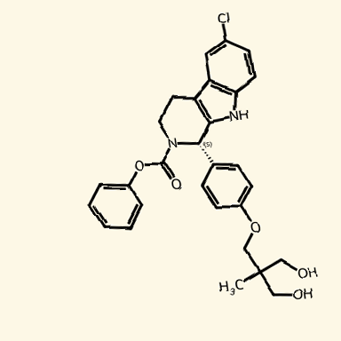 CC(CO)(CO)COc1ccc([C@H]2c3[nH]c4ccc(Cl)cc4c3CCN2C(=O)Oc2ccccc2)cc1